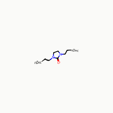 CCCCCCCCCCCCN1CCN(CCCCCCCCCCCC)C1=O